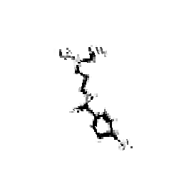 CCN(C)CCCOC(=O)c1ccc(N)cc1